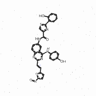 O=Nc1ccc(/C=C/c2nc(Nc3ccc(O)cc3)c3cc(NC(=O)c4csc(-c5ccccc5O)n4)ccc3n2)o1